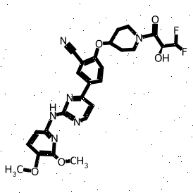 COc1ccc(Nc2nccc(-c3ccc(OC4CCN(C(=O)[C@H](O)C(F)F)CC4)c(C#N)c3)n2)nc1OC